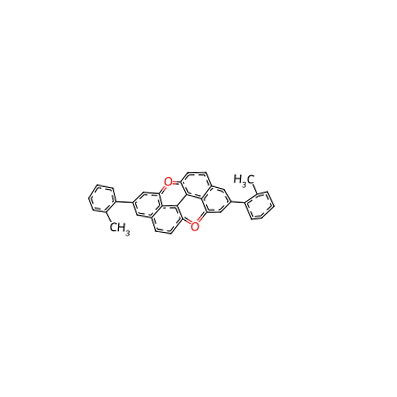 Cc1ccccc1-c1cc2ccc3oc4cc(-c5ccccc5C)cc5ccc6oc(c1)c2c3-c6c54